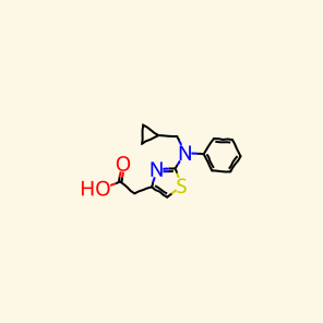 O=C(O)Cc1csc(N(CC2CC2)c2ccccc2)n1